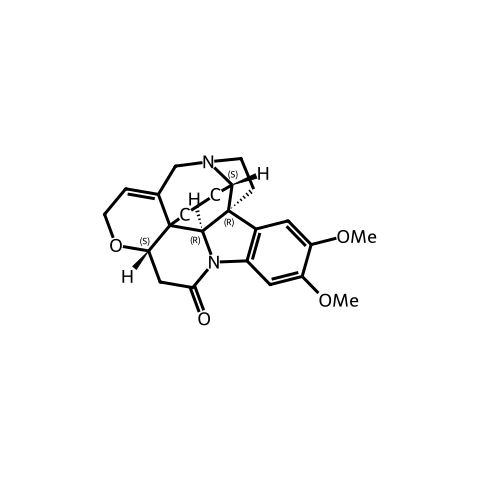 COc1cc2c(cc1OC)[C@@]13CCN4CC5=CCO[C@H]6CC(=O)N2[C@H]1C56CC[C@H]43